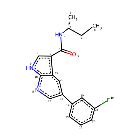 CC[C@@H](C)NC(=O)c1c[nH]c2ncc(-c3cccc(F)c3)cc12